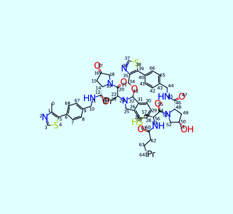 Cc1ncsc1-c1ccc(CNC(=O)[C@@H]2CC(=O)CN2C(=O)[C@H](C(C)C)N2Cc3ccccc3C2OCc2ncsc2-c2ccc(CNC(=O)[C@@H]3C[C@@H](O)CN3C(=O)[C@H](CS)NC(=O)CCC(C)C)cc2)cc1